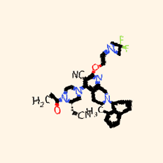 C=CC(=O)N1CCN(c2c(C#N)c(OCCN3CC(F)(F)C3)nc3c2CCN(c2cccc4cccc(C)c24)C3)C[C@@H]1CC#N